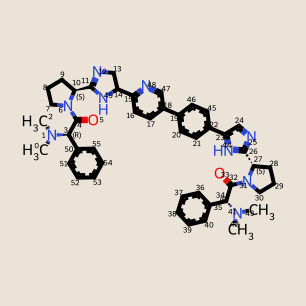 CN(C)[C@@H](C(=O)N1CCC[C@H]1C1=NCC(c2ccc(-c3ccc(-c4cnc([C@@H]5CCCN5C(=O)[C@@H](c5ccccc5)N(C)C)[nH]4)cc3)cn2)N1)c1ccccc1